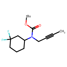 CC#CCN(C(=O)OC(C)(C)C)C1CCCC(F)(F)C1